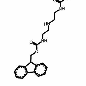 O=C(O)NCCNCCNC(=O)OCC1c2ccccc2-c2ccccc21